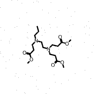 CCCN(CCC(=O)OC)CCN(CCC(=O)OC)CCC(=O)OC